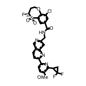 COc1ccc(-c2ccc3cnc(CNC(=O)c4cc(Cl)c5c(c4)S(=O)(=O)[C@@H](F)CCO5)cc3n2)nc1C1CC1(F)F